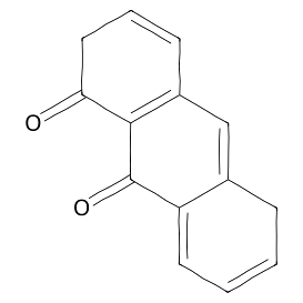 O=C1CC=CC2=C1C(=O)C1=CC=CCC1=C2